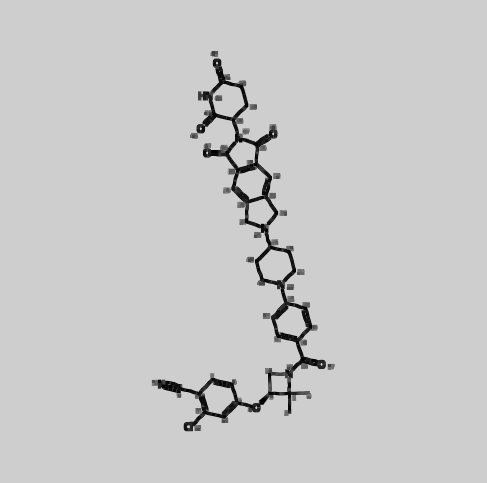 CC1(C)[C@@H](Oc2ccc(C#N)c(Cl)c2)CN1C(=O)c1ccc(N2CCC(N3Cc4cc5c(cc4C3)C(=O)N(C3CCC(=O)NC3=O)C5=O)CC2)cc1